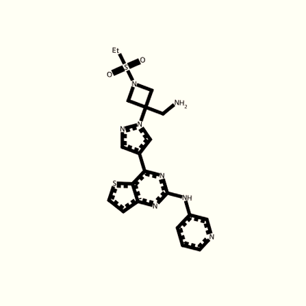 CCS(=O)(=O)N1CC(CN)(n2cc(-c3nc(Nc4cccnc4)nc4ccsc34)cn2)C1